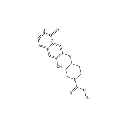 CC(C)(C)OC(=O)N1CCC(Oc2cc3c(=O)[nH]cnc3cc2O)CC1